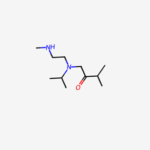 CNCCN(CC(=O)C(C)C)C(C)C